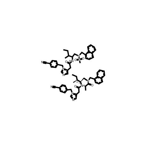 CCC(=O)N(Cc1cccc2ccccc12)C[C@@H](NC(=O)Cc1cncn1Cc1ccc(C#N)cc1)[C@@H](C)CC.CCC(C)C(CN(Cc1cccc2ccccc12)S(C)(=O)=O)NC(=O)Cc1cncn1Cc1ccc(C#N)cc1